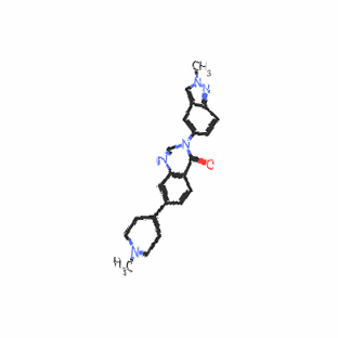 CN1CCC(c2ccc3c(=O)n(-c4ccc5nn(C)cc5c4)cnc3c2)CC1